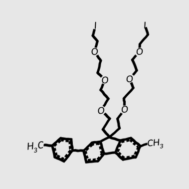 Cc1ccc(-c2ccc3c(c2)C(CCOCCOCCOCCI)(CCOCCOCCOCCI)c2cc(C)ccc2-3)cc1